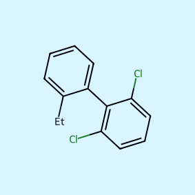 CCc1ccccc1-c1c(Cl)cccc1Cl